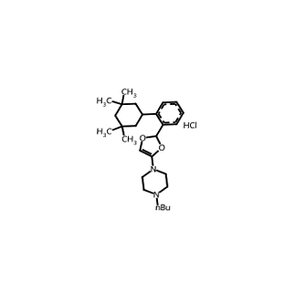 CCCCN1CCN(C2=COC(c3ccccc3C3CC(C)(C)CC(C)(C)C3)O2)CC1.Cl